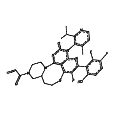 C=CC(=O)N1CCN2c3nc(=O)n(-c4c(C)ccnc4C(C)C)c4nc(-c5c(O)ccc(F)c5F)c(F)c(c34)OCCC2C1